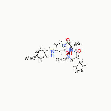 COc1ccc(CNC2CCN(C(=O)[C@@H](NC(=O)C(CC3CCCC3)CN(O)C=O)C(C)(C)C)CC2)cc1